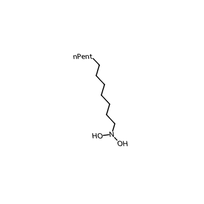 CCCCCCCCCCCCN(O)O